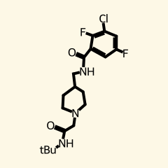 CC(C)(C)NC(=O)CN1CCC(CNC(=O)c2cc(F)cc(Cl)c2F)CC1